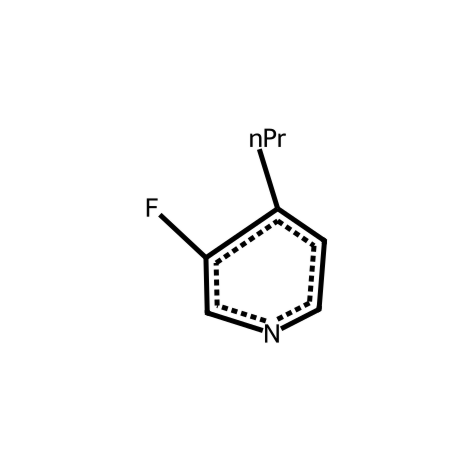 CCCc1ccncc1F